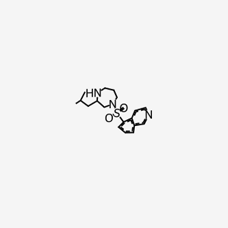 CC(C)CC1CN(S(=O)(=O)c2cccc3cnccc23)CCCN1